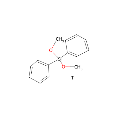 CO[Si](OC)(c1ccccc1)c1ccccc1.[Ti]